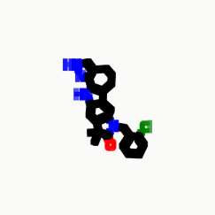 CC1(C)C(=O)N(Cc2ccccc2Cl)c2cc3c4c([nH]c3cc21)-c1n[nH]cc1CCC4